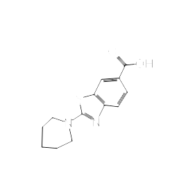 O=C(O)c1ccc2nc(N3CCCCC3)sc2c1